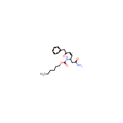 CCCCCCOC(=O)NC(/C=C\C(=O)Cc1ccccc1)CC(N)=O